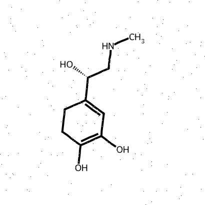 CNC[C@@H](O)C1=CC(O)=C(O)CC1